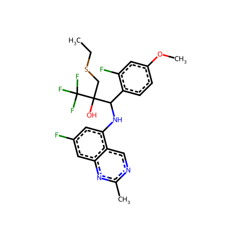 CCSCC(O)(C(Nc1cc(F)cc2nc(C)ncc12)c1ccc(OC)cc1F)C(F)(F)F